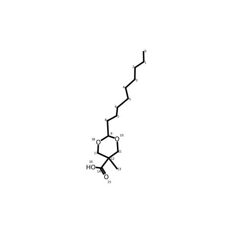 CCCCCCCCCC1OCC(C)(C(=O)O)CO1